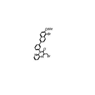 COc1ccc2cc(-c3cccc(-n4c(=O)c(CBr)nc5cccnc54)c3)ccc2c1Br